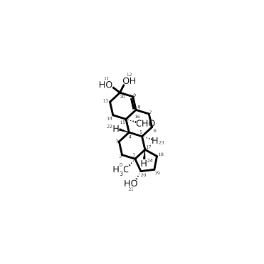 C[C@]12CC[C@H]3[C@@H](CCC4=CC(O)(O)CC[C@@]43C=O)[C@@H]1CC[C@@H]2O